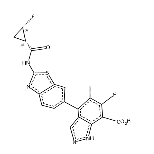 Cc1c(F)c(C(=O)O)c2[nH]ncc2c1-c1ccc2nc(NC(=O)[C@@H]3C[C@@H]3F)sc2c1